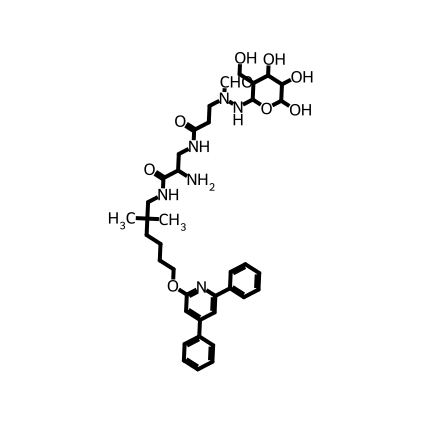 CC(C)(CCCCOc1cc(-c2ccccc2)cc(-c2ccccc2)n1)CNC(=O)C(N)CNC(=O)CCN(C=O)NC1OC(O)C(O)C(O)C1CO